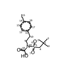 CC(C)(C)CS(=O)(=O)N(CCc1ccc(I)cc1)C(=O)O